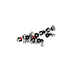 CC(C)Oc1ccccc1[C@@H]1CN(c2cncnc2)CCN1C1CC2(CCN(c3ccc(C(=O)NS(=O)(=O)c4cc5c(c([N+](=O)[O-])c4)N[C@H](C4CCOCC4)CO5)c(N4c5cc6cc[nH]c6nc5O[C@H]5COCC[C@@H]54)c3)CC2)C1